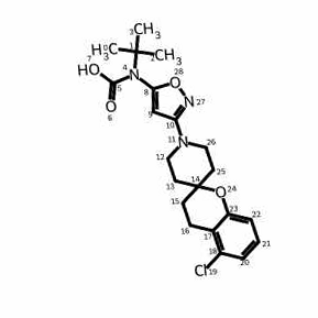 CC(C)(C)N(C(=O)O)c1cc(N2CCC3(CCc4c(Cl)cccc4O3)CC2)no1